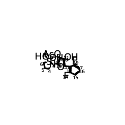 CC(=O)Oc1c(N2CCCS2(O)O)oc(-c2c(F)cccc2F)c1O